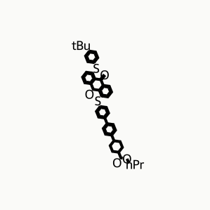 CCCOC(=O)C1CCC(c2ccc(-c3ccc(Sc4cccc5c4C(=O)c4cccc(Sc6ccc(C(C)(C)C)cc6)c4C5=O)cc3)cc2)CC1